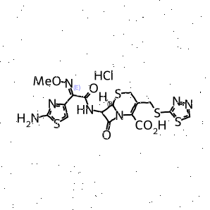 CO/N=C(/C(=O)NC1C(=O)N2C(C(=O)O)=C(CSc3nncs3)CS[C@H]12)c1csc(N)n1.Cl